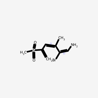 C=C(/C=C(C)\C(Br)=C/N)S(C)(=O)=O